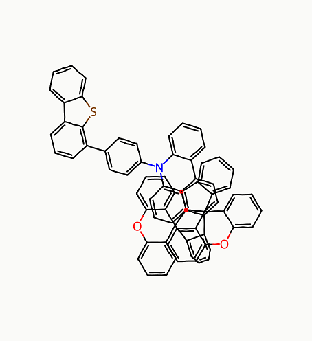 c1ccc2c(c1)Oc1ccccc1C21c2ccccc2-c2ccc(-c3ccccc3N(c3ccc(-c4cccc5c4sc4ccccc45)cc3)c3cccc4c3-c3ccccc3C43c4ccccc4Oc4ccccc43)cc21